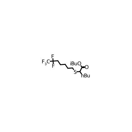 CCCCC(SCCCCCC(F)(F)C(F)(F)F)C(=O)OCC(C)C